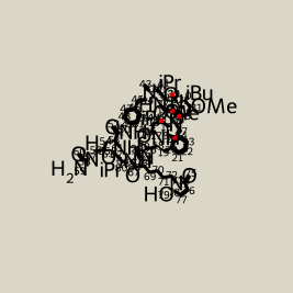 CC[C@H](C)[C@@H]([C@@H](CC(=O)N1CCC[C@H]1[C@H](OC)[C@@H](C)C(=O)N[C@@H](Cc1ccccc1)c1nccs1)OC)N(C)C(=O)[C@@H](NC(=O)[C@H](C(C)C)N(C)CCc1ccc(NC(=O)[C@H](CCCNC(N)=O)NC(=O)[C@@H](NC(=O)CCCCCN2C(=O)C=CC2O)C(C)C)cc1)C(C)C